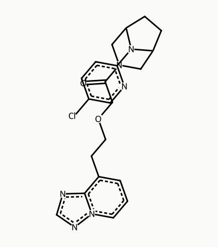 O=C(COCCc1cccn2ncnc12)N1CC2CCC(C1)N2c1ccc(Cl)cn1